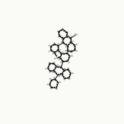 Fc1c2ccccc2c(-c2cccc3sc4c(-c5c6ccccc6c(-c6ccccc6)c6ccccc56)cccc4c23)c2ccccc12